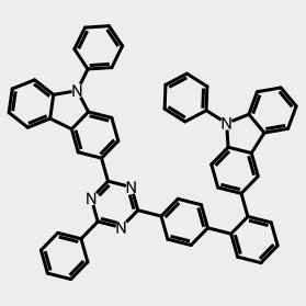 c1ccc(-c2nc(-c3ccc(-c4ccccc4-c4ccc5c(c4)c4ccccc4n5-c4ccccc4)cc3)nc(-c3ccc4c(c3)c3ccccc3n4-c3ccccc3)n2)cc1